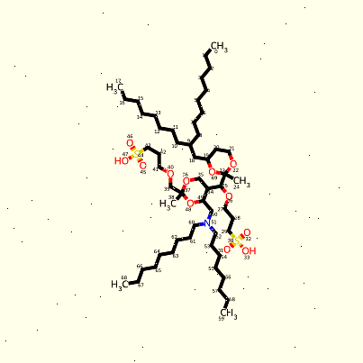 CCCCCCCCCC(CCCCCCCC)CC1CCOC(C)(C(OCCCS(=O)(=O)O)C2COC(C)(COCCCS(=O)(=O)O)OC2CN(CCCCCCCC)CCCCCCCCC)O1